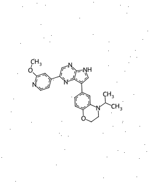 COc1cc(-c2cnc3[nH]cc(-c4ccc5c(c4)N(C(C)C)CCO5)c3n2)ccn1